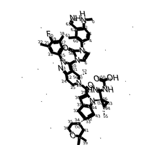 CNc1ccc(-n2ccn(-c3c4c(nn3-c3cc(C)c(F)c(C)c3)CCN(C(=O)c3cc5cc([C@H]6CCOC(C)(C)C6)ccc5n3[C@@]3(C(=N)NC(=O)O)C[C@@H]3C)[C@H]4C)c2=O)c(C)c1C=N